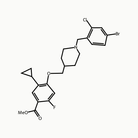 COC(=O)c1cc(C2CC2)c(OCC2CCN(Cc3ccc(Br)cc3Cl)CC2)cc1F